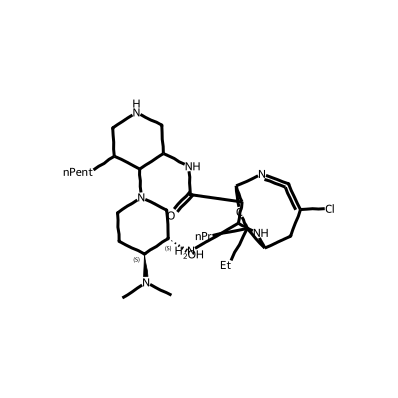 CCCCCC1CNCC(NC(=O)C2C3CC(CC)(CCC)C(CC(Cl)=C=N3)NC2N)C1N1CC[C@H](N(C)C)[C@@H](O)C1